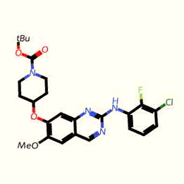 COc1cc2cnc(Nc3cccc(Cl)c3F)nc2cc1OC1CCN(C(=O)OC(C)(C)C)CC1